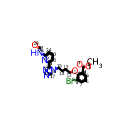 COC(=O)c1cccc(Br)c1OCCCCn1cnnc1-c1cccc(NC=O)n1